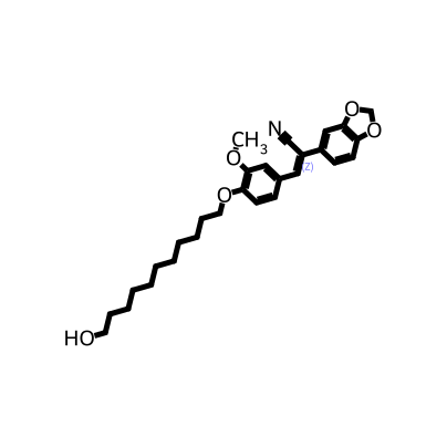 COc1cc(/C=C(\C#N)c2ccc3c(c2)OCO3)ccc1OCCCCCCCCCCCO